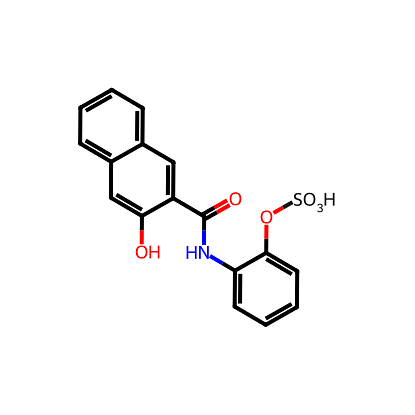 O=C(Nc1ccccc1OS(=O)(=O)O)c1cc2ccccc2cc1O